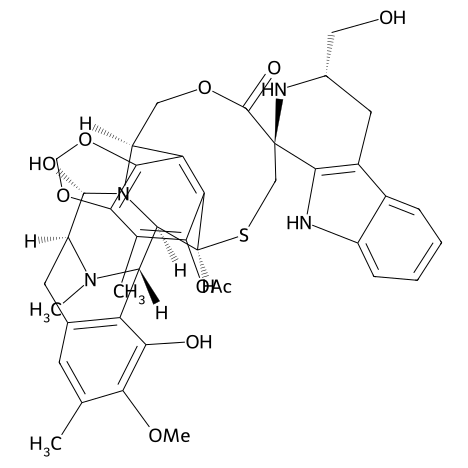 COc1c(C)cc2c(c1O)[C@H]1[C@@H]3[C@@H]4SC[C@]5(N[C@H](CO)Cc6c5[nH]c5ccccc65)C(=O)OC[C@@H](c5c6c(c(C)c(OC(C)=O)c54)OCO6)N3[C@@H](O)[C@H](C2)N1C